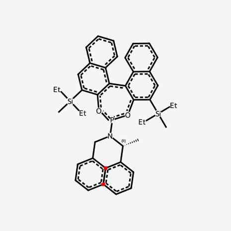 CC[Si](C)(CC)c1cc2ccccc2c2c1op(N(Cc1ccccc1)[C@H](C)c1ccccc1)oc1c([Si](C)(CC)CC)cc3ccccc3c12